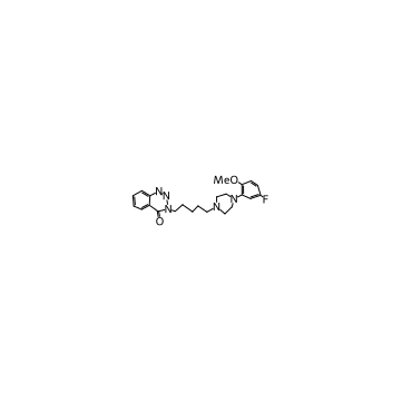 COc1ccc(F)cc1N1CCN(CCCCCn2nnc3ccccc3c2=O)CC1